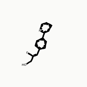 OCC(F)=Cc1ccc(-c2ccccn2)cc1